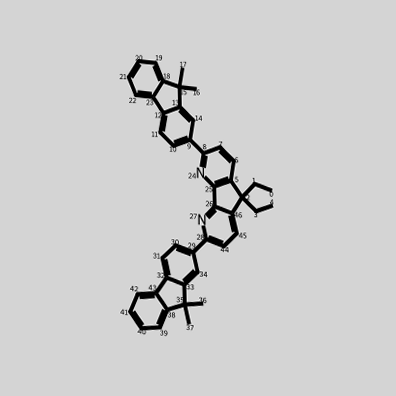 CCC1(CC)c2ccc(-c3ccc4c(c3)C(C)(C)c3ccccc3-4)nc2-c2nc(-c3ccc4c(c3)C(C)(C)c3ccccc3-4)ccc21